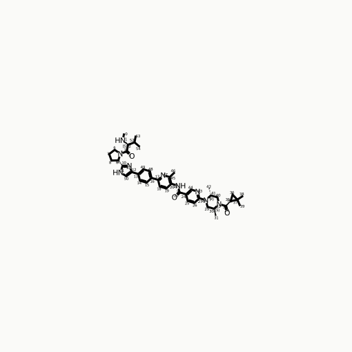 CN[C@H](C(=O)N1CCC[C@H]1c1nc(-c2ccc(-c3ccc(NC(=O)c4ccc(N5C[C@H](C)N(C(=O)[C@H]6CC6(C)C)C[C@H]5C)nc4)c(C)n3)cc2)c[nH]1)C(C)C